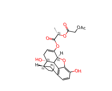 CC(=O)OCC(=O)O[C@@H](C)C(=O)OC1=CC[C@]2(O)[C@H]3CCC[C@]24c2c(ccc(O)c2O[C@H]14)C3